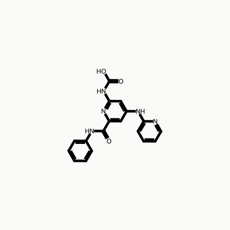 O=C(O)Nc1cc(Nc2ccccn2)cc(C(=O)Nc2ccccc2)n1